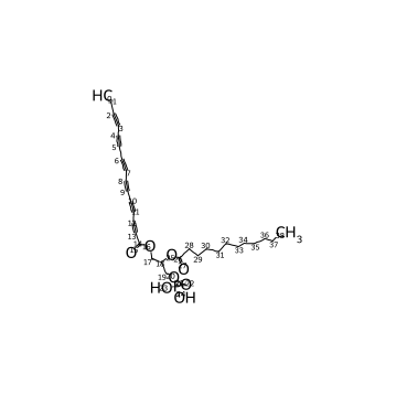 C#CC#CC#CC#CC#CC#CC#CC(=O)OC[C@H](COP(=O)(O)O)OC(=O)CCCCCCCCCCC